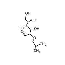 C=C(C)CO[C@@H](C=O)[C@@H](O)[C@H](O)[C@H](O)CO